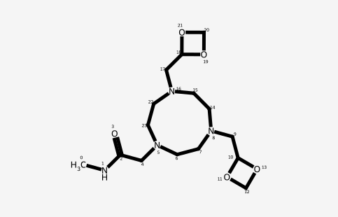 CNC(=O)CN1CCN(CC2OCO2)CCN(CC2OCO2)CC1